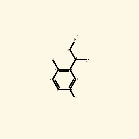 [CH2]C(CF)c1cc(F)ccc1C